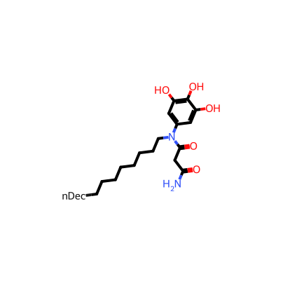 CCCCCCCCCCCCCCCCCCN(C(=O)CC(N)=O)c1cc(O)c(O)c(O)c1